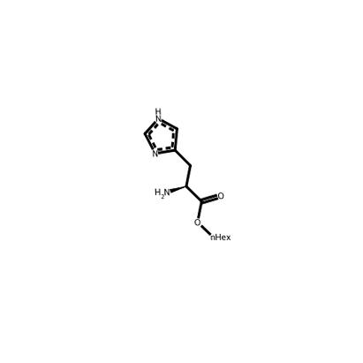 CCCCCCOC(=O)[C@@H](N)Cc1c[nH]cn1